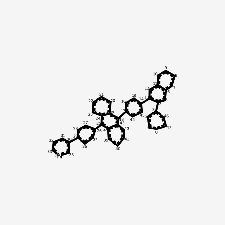 c1ccc(-c2cc3ccccc3cc2-c2ccc(-c3c4ccccc4c(-c4ccc(-c5cccnc5)cc4)c4ccccc34)cc2)cc1